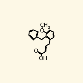 COc1cccc(CC=CC(=O)O)c1Cc1ccccc1